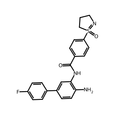 Nc1ccc(-c2ccc(F)cc2)cc1NC(=O)c1ccc(S2(=O)=NCCC2)cc1